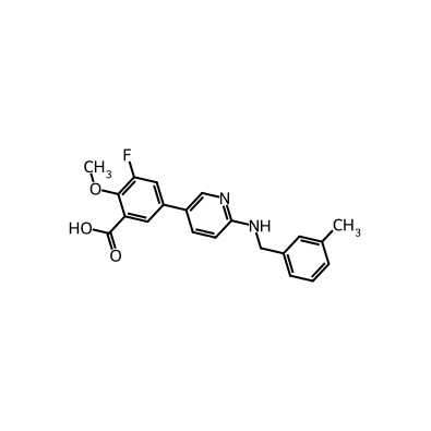 COc1c(F)cc(-c2ccc(NCc3cccc(C)c3)nc2)cc1C(=O)O